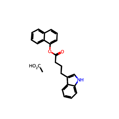 CC(=O)O.O=C(CCCc1c[nH]c2ccccc12)Oc1cccc2ccccc12